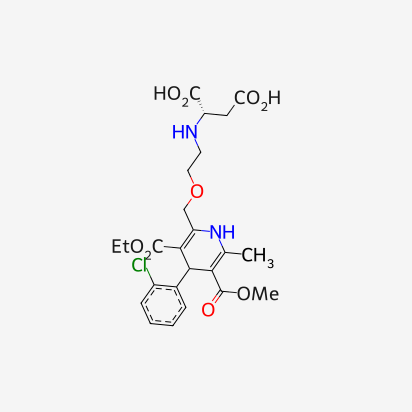 CCOC(=O)C1=C(COCCN[C@@H](CC(=O)O)C(=O)O)NC(C)=C(C(=O)OC)C1c1ccccc1Cl